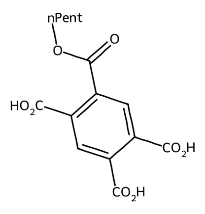 CCCCCOC(=O)c1cc(C(=O)O)c(C(=O)O)cc1C(=O)O